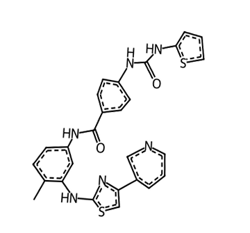 Cc1ccc(NC(=O)c2ccc(NC(=O)Nc3cccs3)cc2)cc1Nc1nc(-c2cccnc2)cs1